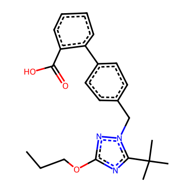 CCCOc1nc(C(C)(C)C)n(Cc2ccc(-c3ccccc3C(=O)O)cc2)n1